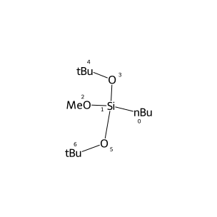 CCCC[Si](OC)(OC(C)(C)C)OC(C)(C)C